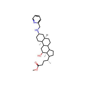 COC(=O)CC[C@@H](C)C1CCC2C3CC[C@@H]4C[C@H](NCc5ccccn5)CC[C@]4(C)C3C[C@H](O)[C@@]21C